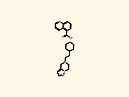 O=C(N[C@H]1CC[C@H](CCN2CCn3nccc3C2)CC1)c1cccc2ncccc12